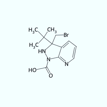 CC(C)(C)C1(CBr)NN(C(=O)O)c2ncccc21